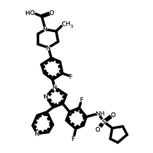 CC1CN(c2ccc(-n3cc(-c4cc(F)cc(NS(=O)(=O)C5CCCC5)c4F)c(-c4ccncc4)n3)c(F)c2)CCN1C(=O)O